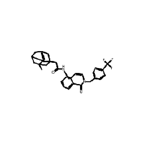 CC12C=C3CC(C1)CC(CC(=O)Nc1cccc4c(=O)n(Cc5ccc(C(F)(F)F)cc5)ccc14)(C3)C2